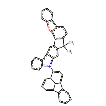 CC1(C)c2cc3c(cc2-c2c1ccc1c2oc2ccccc21)c1ccccc1n3C1=CC=C2c3ccccc3C3=CC=CC1C32